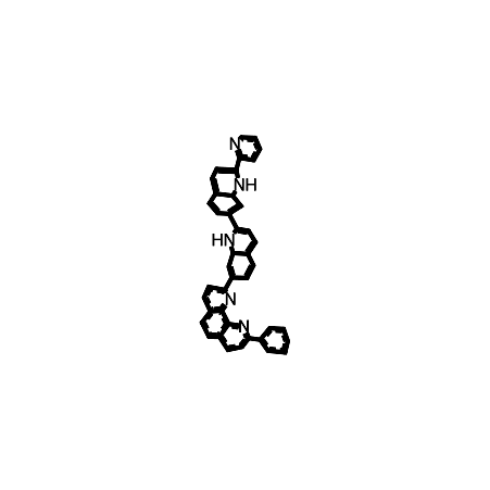 C1=CC2=CC=C(c3ccccn3)NC2C=C1C1=CC=C2C=CC(c3ccc4ccc5ccc(-c6ccccc6)nc5c4n3)=CC2N1